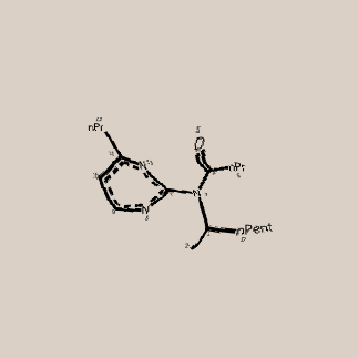 CCCCCC(C)N(C(=O)CCC)c1nccc(CCC)n1